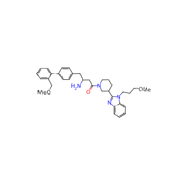 COCCCn1c(C2CCCN(C(=O)CC(N)Cc3ccc(-c4ccccc4COC)cc3)C2)nc2ccccc21